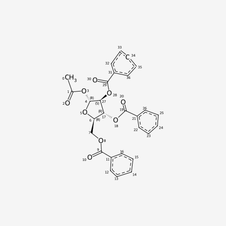 CC(=O)O[C@H]1O[C@H](COC(=O)c2ccccc2)[C@@H](OC(=O)c2ccccc2)[C@@H]1OC(=O)c1ccccc1